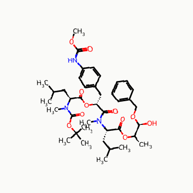 COC(=O)Nc1ccc(C[C@@H](OC(=O)[C@H](CC(C)C)N(C)C(=O)OC(C)(C)C)C(=O)N(C)[C@@H](CC(C)C)C(=O)OC(C)[C@H](O)OCc2ccccc2)cc1